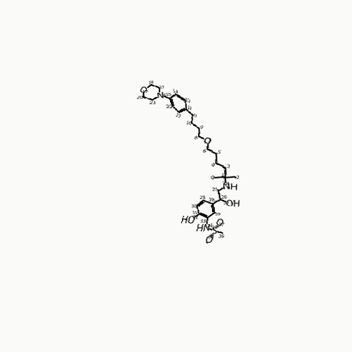 CC(C)(CCCCOCCCCc1ccc(N2CCOCC2)cc1)NCC(O)c1ccc(O)c(NS(C)(=O)=O)c1